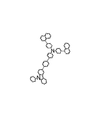 c1ccc(-n2c3ccccc3c3cc(-c4ccc(-c5ccc(N(c6ccc(-c7cccc8ccccc78)cc6)c6ccc(-c7cccc8ccccc78)cc6)cc5)cc4)ccc32)cc1